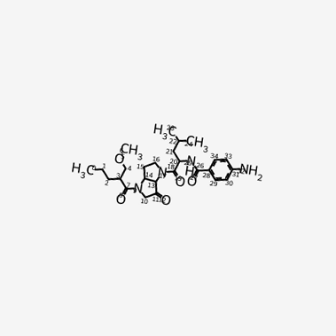 CCCC(COC)C(=O)N1CC(=O)C2C1CCN2C(=O)C(CC(C)C)NC(=O)c1ccc(N)cc1